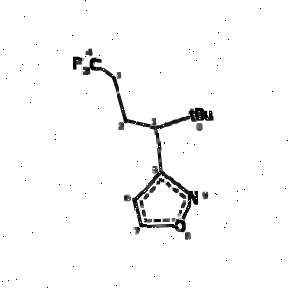 CC(C)(C)C(CCC(F)(F)F)c1ccon1